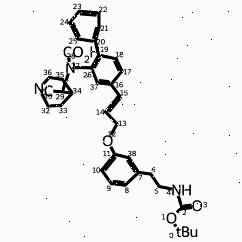 CC(C)(C)OC(=O)NCCc1cccc(OCC=Cc2ccc(-c3ccccc3)c(N(C(=O)O)C3CN4CCC3CC4)c2)c1